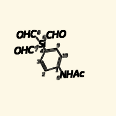 CC(=O)Nc1ccc([Si](C=O)(C=O)C=O)cc1